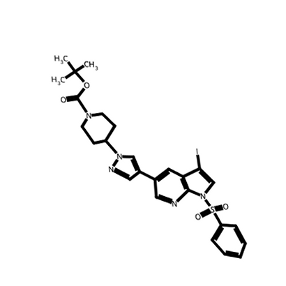 CC(C)(C)OC(=O)N1CCC(n2cc(-c3cnc4c(c3)c(I)cn4S(=O)(=O)c3ccccc3)cn2)CC1